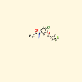 CC(O)Nc1ccc(Cl)c(OCC2CC(F)(F)C2)c1